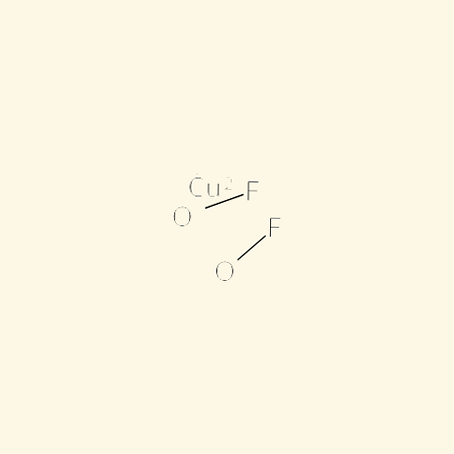 [Cu+2].[O-]F.[O-]F